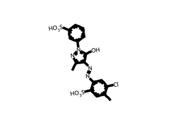 Cc1cc(S(=O)(=O)O)c(N=Nc2c(C)nn(-c3cccc(S(=O)(=O)O)c3)c2O)cc1Cl